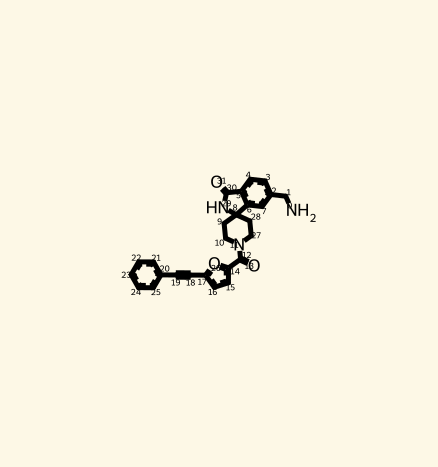 NCc1ccc2c(c1)C1(CCN(C(=O)c3ccc(C#Cc4ccccc4)o3)CC1)NC2=O